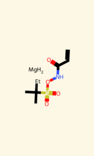 C=CC(=O)NOS(=O)(=O)C(C)(C)CC.[MgH2]